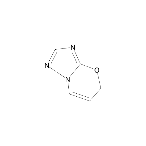 C1=Cn2ncnc2OC1